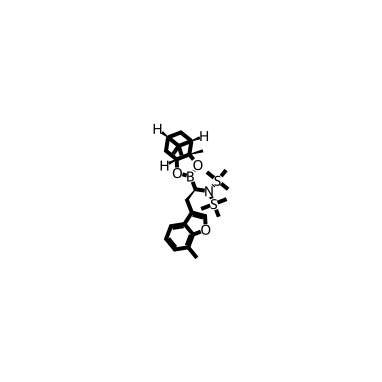 Cc1cccc2c(C[C@@H](B3O[C@@H]4C[C@@H]5C[C@@H](C5(C)C)[C@]4(C)O3)N(S(C)(C)C)S(C)(C)C)coc12